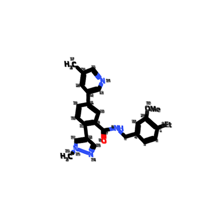 CCc1ccc(CNC(=O)c2cc(-c3cncc(C)c3)ccc2-c2cnn(C)c2)cc1OC